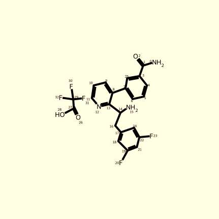 NC(=O)c1cccc(-c2cccnc2C(N)Cc2cc(F)cc(F)c2)c1.O=C(O)C(F)(F)F